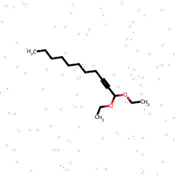 CCCCCCCCC#CC(OCC)OCC